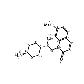 COc1ccc2ccc(=O)n(CC(O)[C@H]3CC[C@H](N)CC3)c2c1